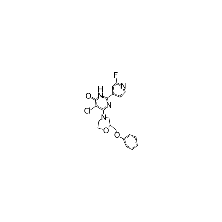 O=c1[nH]c(-c2ccnc(F)c2)nc(N2CCOC(COc3ccccc3)C2)c1Cl